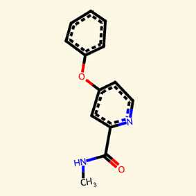 CNC(=O)c1cc(Oc2cc[c]cc2)ccn1